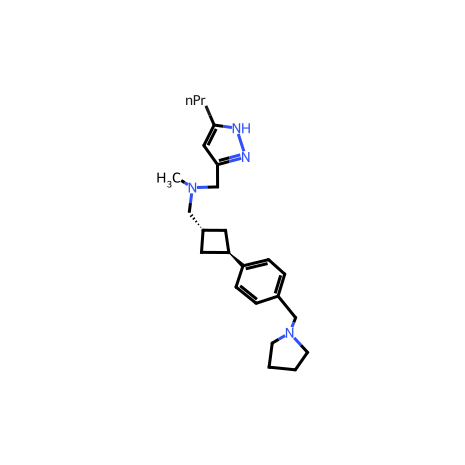 CCCc1cc(CN(C)C[C@H]2C[C@H](c3ccc(CN4CCCC4)cc3)C2)n[nH]1